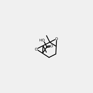 CC12OC1CCC1(C(=O)O)OC12C